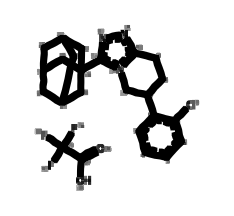 Clc1ccccc1C1CCc2nnc(C34CC5CC(CC(C5)C3)C4)n2C1.O=C(O)C(F)(F)F